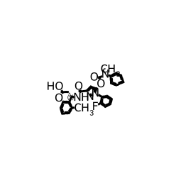 Cc1ccccc1[C@H](CC(=O)O)NC(=O)c1cc(OC(=O)N(C)c2ccccc2)n(-c2ccccc2F)n1